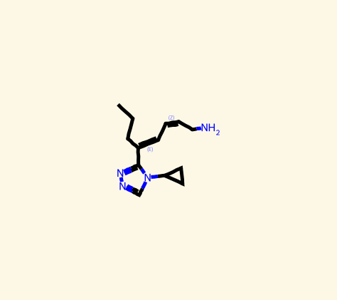 CCC/C(=C\C=C/CN)c1nncn1C1CC1